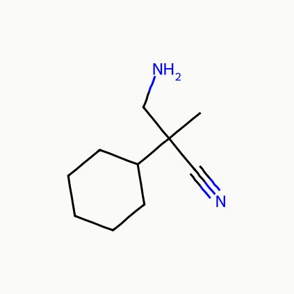 CC(C#N)(CN)C1CCCCC1